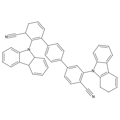 N#Cc1ccc(-c2ccc(C3=C(N4c5ccccc5C5C=CC=CC54)C(C#N)CC=C3)cc2)cc1-n1c2c(c3ccccc31)C=CCC2